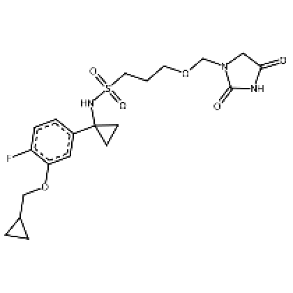 O=C1CN(COCCCS(=O)(=O)NC2(c3ccc(F)c(OCC4CC4)c3)CC2)C(=O)N1